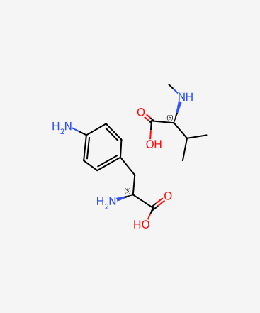 CN[C@H](C(=O)O)C(C)C.Nc1ccc(C[C@H](N)C(=O)O)cc1